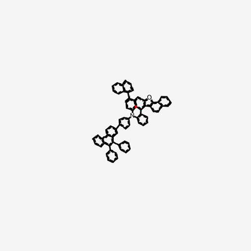 c1ccc(-c2c(-c3ccccc3)c3cc(-c4ccc(N(c5ccc(-c6cccc7ccccc67)cc5)c5ccccc5-c5cccc6oc7c8ccccc8ccc7c56)cc4)ccc3c3ccccc23)cc1